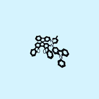 Cc1ccc(N(c2ccc3c(c2)c2ccccc2n3-c2ccccc2)c2cc3c(c4oc5ccccc5c24)-c2c(ccc4c2oc2ccccc24)C32c3ccccc3-c3ccccc32)nc1